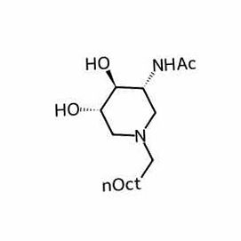 CCCCCCCCCN1C[C@H](O)[C@@H](O)[C@H](NC(C)=O)C1